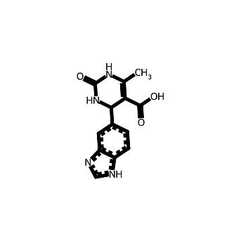 CC1=C(C(=O)O)C(c2ccc3[nH]cnc3c2)NC(=O)N1